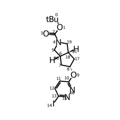 CC(C)(C)OC(=O)N1C[C@H]2C[C@@H](Oc3ccc(I)nn3)C[C@H]2C1